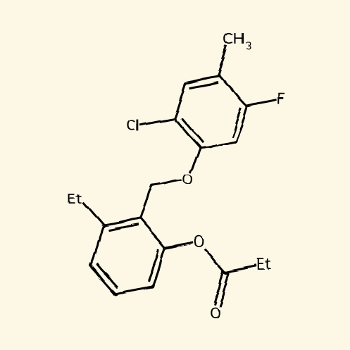 CCC(=O)Oc1cccc(CC)c1COc1cc(F)c(C)cc1Cl